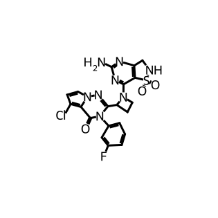 Nc1nc2c(c(N3CCC3c3nn4ccc(Cl)c4c(=O)n3-c3cccc(F)c3)n1)S(=O)(=O)NC2